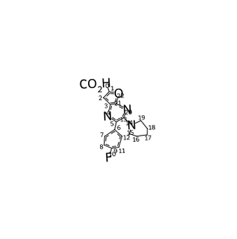 O=C(O)c1cc2nc(-c3ccc(F)cc3)c(N3CCCCC3)nc2o1